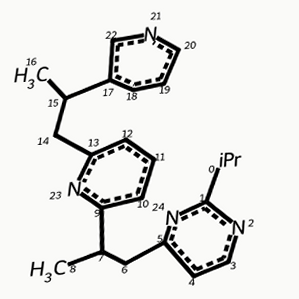 CC(C)c1nccc(CC(C)c2cccc(CC(C)c3cccnc3)n2)n1